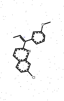 C/C=C(/c1cccc(OC)c1)c1ccc2ccc(Cl)cc2n1